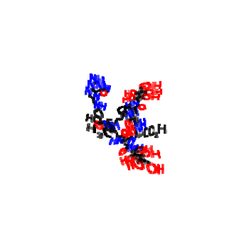 C[C@H](CCC(=O)N[C@@H](CCC(=O)NC[C@H](O)[C@@H](O)[C@H](O)[C@H](O)CO)C(=O)N[C@@H](CCC(=O)O)C(=O)N[C@@H](CCC(=O)NC[C@H](O)[C@@H](O)[C@H](O)[C@H](O)CO)C(=O)N[C@H](C)CCCC(=O)O)NC(=O)c1ccc(NCc2cnc3nc(N)[nH]c(=O)c3n2)cc1